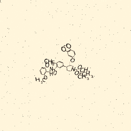 COc1cccc(OC)c1CNC(=O)c1cc([C@@H]2CCN(C(=O)OC(C)(C)C)C[C@H]2COc2ccc3c(c2)OCO3)ccc1F